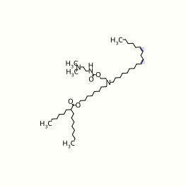 CCCCC/C=C\C/C=C\CCCCCCCCN(CCCCCCCCOC(=O)C(CCCCCC)CCCCCCCC)CCOC(=O)NCCN(C)C